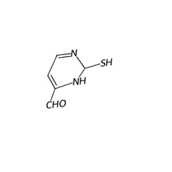 O=CC1=CC=NC(S)N1